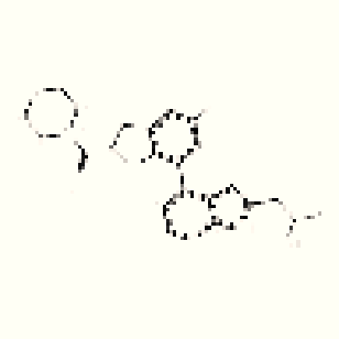 C[C@@H](O)Cc1cc2c(-c3cc(Cl)cc4c3O[C@H](C(=O)N3CCNCC3)C4)ccnc2[nH]1